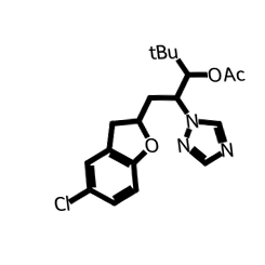 CC(=O)OC(C(CC1Cc2cc(Cl)ccc2O1)n1cncn1)C(C)(C)C